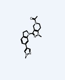 CC(=O)N1CCc2c(c(N3CCc4ccc(-c5cnn(C)c5)cc43)nn2C)C1